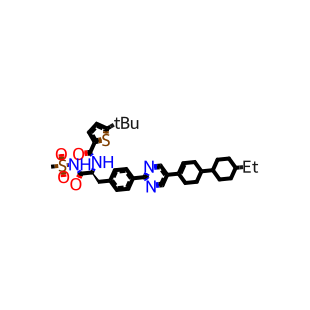 CCC1CCC(C2CC=C(c3cnc(-c4ccc(C[C@H](NC(=O)c5ccc(C(C)(C)C)s5)C(=O)NS(C)(=O)=O)cc4)nc3)CC2)CC1